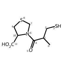 CC(CS)C(=O)N1CSCC1C(=O)O